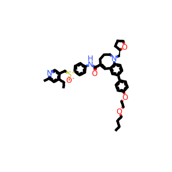 CCCCOCCOc1ccc(-c2ccc3c(c2)/C=C(/C(=O)Nc2ccc([S@+]([O-])Cc4cnc(C)cc4CC)cc2)CCCN3C[C@H]2CCCO2)cc1